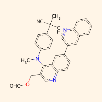 CN(c1ccc(C(C)(C)C#N)cc1)c1c(COC=O)cnc2ccc(-c3cnc4ccccc4c3)cc12